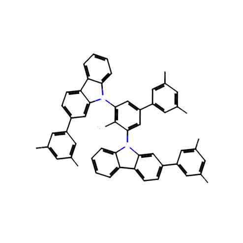 N#Cc1c(-n2c3ccccc3c3ccc(-c4cc(C(F)(F)F)cc(C(F)(F)F)c4)cc32)cc(-c2cc(C(F)(F)F)cc(C(F)(F)F)c2)cc1-n1c2ccccc2c2ccc(-c3cc(C(F)(F)F)cc(C(F)(F)F)c3)cc21